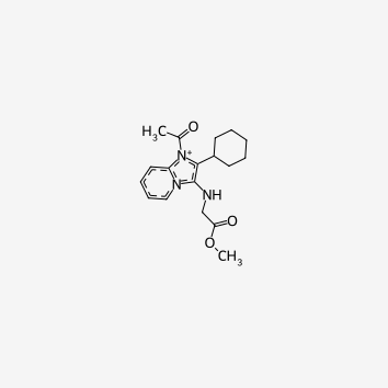 COC(=O)CNc1c(C2CCCCC2)[n+](C(C)=O)c2ccccn12